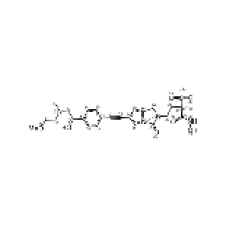 COCCN(C)CC(O)c1ccc(C#Cc2cc3n(c2)C(=O)N(CC[C@](C)(C(=O)NO)S(C)(=O)=O)C3)cc1